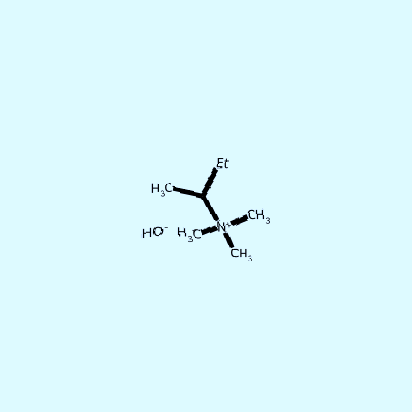 CCC(C)[N+](C)(C)C.[OH-]